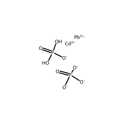 O=P([O-])(O)O.O=P([O-])([O-])[O-].[Cd+2].[Pb+2]